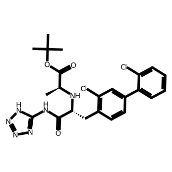 C[C@H](N[C@H](Cc1ccc(-c2ccccc2Cl)cc1Cl)C(=O)Nc1nnn[nH]1)C(=O)OC(C)(C)C